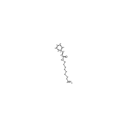 NCCCCCCCCOC(=O)C=Cc1ccccc1